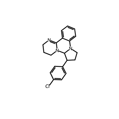 Clc1ccc(C2CCN3c4ccccc4C4=NCCCN4C23)cc1